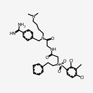 Cc1c(Cl)ccc(S(=O)(=O)N(CCc2ccccc2)CC(=O)NCC(=O)N(CCCCN(C)C)Cc2ccc(C(=N)N)cc2)c1Cl